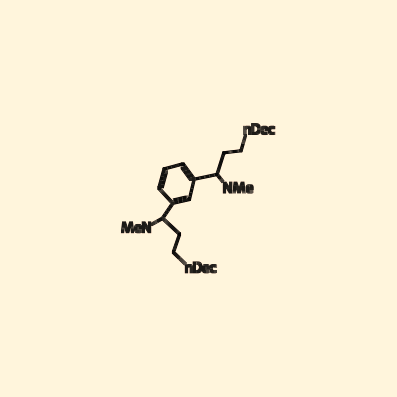 CCCCCCCCCCCCC(NC)c1cccc(C(CCCCCCCCCCCC)NC)c1